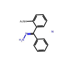 CC(=O)Nc1ccccc1C(=NN)c1ccccc1.[N]